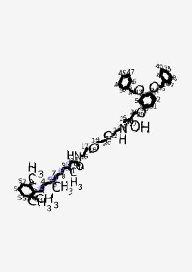 CC1=C(/C=C/C(C)=C/C=C/C(C)=C/C(=O)NCCOCCOCCNC[C@@H](O)COc2ccc(OCc3ccccc3)c(OCc3ccccc3)c2)C(C)(C)CCC1